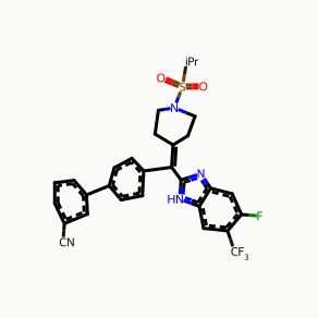 CC(C)S(=O)(=O)N1CCC(=C(c2ccc(-c3cccc(C#N)c3)cc2)c2nc3cc(F)c(C(F)(F)F)cc3[nH]2)CC1